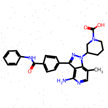 Cc1cnc(N)c2c(-c3ccc(C(=O)Nc4ccccc4)cc3)nn(C3CCCN(C(=O)O)C3)c12